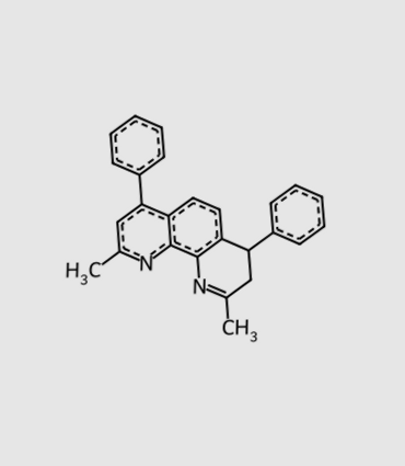 CC1=Nc2c(ccc3c(-c4ccccc4)cc(C)nc23)C(c2ccccc2)C1